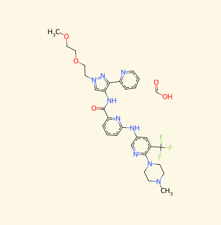 COCCOCCn1cc(NC(=O)c2cccc(Nc3cnc(N4CCN(C)CC4)c(C(F)(F)F)c3)n2)c(-c2ccccn2)n1.O=CO